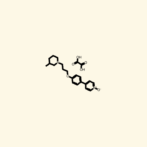 CC1CCCN(CCCOc2ccc(-c3cc[n+]([O-])cc3)cc2)C1.O=C(O)C(=O)O